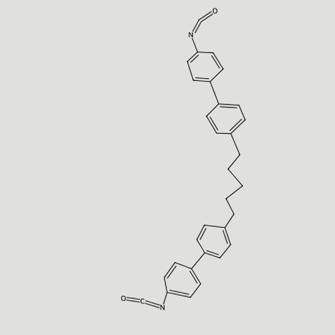 O=C=Nc1ccc(-c2ccc(CCCCCc3ccc(-c4ccc(N=C=O)cc4)cc3)cc2)cc1